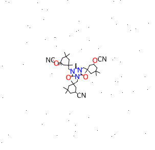 C=C1N(CC2(C)CC(OC#N)CC(C)(C)C2)C(=O)N(CC2(C)CC(C#N)CC(C)(C)C2)C(=O)N1CC1(C)C[C@H](OC#N)CC(C)(C)C1